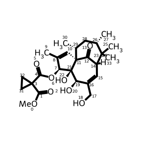 COC(=O)C1(C(=O)O[C@H]2C(C)=C[C@]34C(=O)[C@@H](C=C(CO)[C@@H](O)[C@]23O)C(C)(C)[C@@H](C)C[C@H]4C)CC1